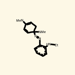 CCNc1ccccc1N=NC1(NC)C=CC(NC)=CC1